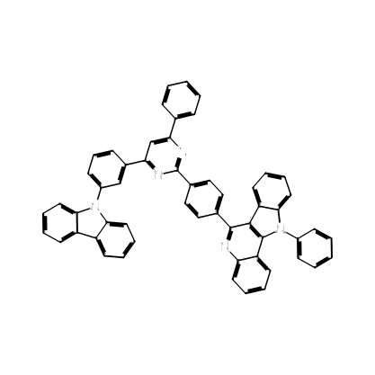 c1ccc(-c2cc(-c3cccc(-n4c5ccccc5c5ccccc54)c3)nc(-c3ccc(-c4nc5ccccc5c5c4c4ccccc4n5-c4ccccc4)cc3)n2)cc1